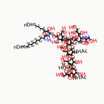 CCCCCCCCCCCCC/C=C/[C@@H](O)[C@H](CO[C@@H]1OC(CO)[C@@H](O[C@@H]2OC(CO)[C@H](O[C@@H]3OC(CO)[C@H](O)[C@H](O[C@@H]4OC(CO)[C@H](O)[C@H](O[C@]5(C(=O)O)CC(O)[C@@H](NC(C)=O)C([C@H](O)[C@H](O)CO)O5)C4O)C3NC(C)=O)[C@H](O[C@]3(C(=O)O)CC(O)[C@@H](NC(=O)CO)C([C@H](O)[C@H](O)CO)O3)C2O)[C@H](O)C1O)NC(=O)CCCCCCCCCCCCCCCCCCC